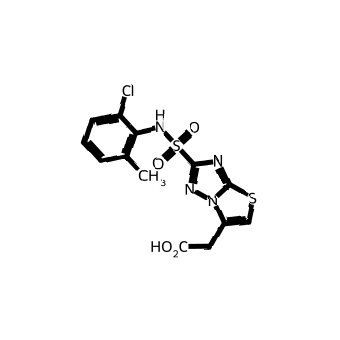 Cc1cccc(Cl)c1NS(=O)(=O)c1nc2scc(CC(=O)O)n2n1